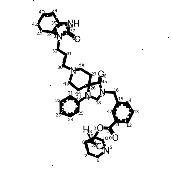 O=C(O[C@@H]1CN2CCC1CC2)c1cccc(CN2CN(c3ccccc3)C3(CCN(CCCn4c5c([nH]c4=O)C=CCC5)CC3)C2=O)c1